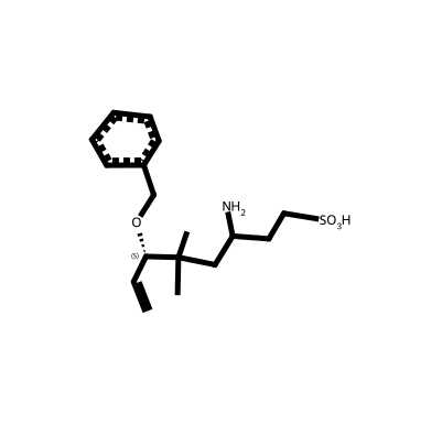 C=C[C@H](OCc1ccccc1)C(C)(C)CC(N)CCS(=O)(=O)O